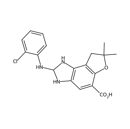 CC1(C)Cc2c3c(cc(C(=O)O)c2O1)NC(Nc1ccccc1Cl)N3